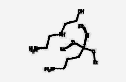 CCO[Si](CCCN)(OCC)OCC.NCCNCCO